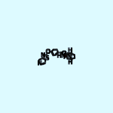 CC(=O)N1[C@H]2CC[C@H]1CC(NCc1ccc(Oc3nc4cnccc4s3)cc1)C2